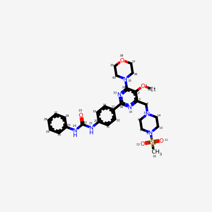 CCOc1c(CN2CCN(S(C)(=O)=O)CC2)nc(-c2ccc(NC(=O)Nc3ccccc3)cc2)nc1N1CCOCC1